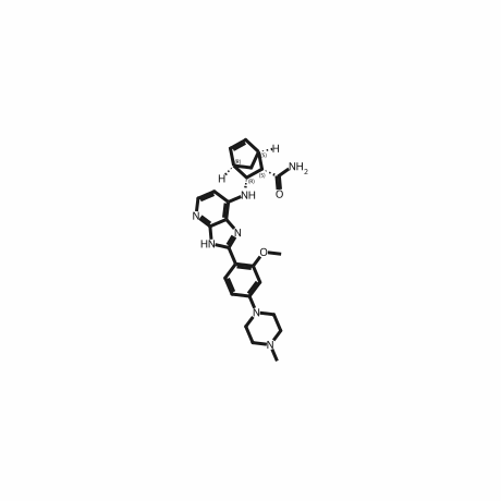 COc1cc(N2CCN(C)CC2)ccc1-c1nc2c(N[C@H]3[C@@H](C(N)=O)[C@@H]4C=C[C@H]3C4)ccnc2[nH]1